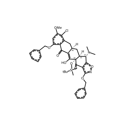 COc1cc(OCc2ccccc2)c2c(c1Cl)C[C@H]1C[C@H]3[C@H](N(C)C)c4onc(OCc5ccccc5)c4C(=O)[C@@]3(O[Si](C)(C)C(C)(C)C)C(O)=C1C2=O